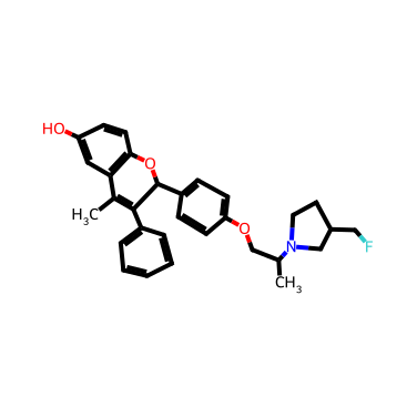 CC1=C(c2ccccc2)C(c2ccc(OCC(C)N3CCC(CF)C3)cc2)Oc2ccc(O)cc21